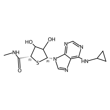 CNC(=O)[C@H]1S[C@@H](n2cnc3c(NC4CC4)ncnc32)C(O)C1O